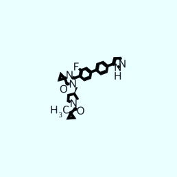 CC1(C(=O)N2CC[C@@H](CN3C(=O)C4(CC4)N=C3c3ccc(-c4ccc(-c5ccn[nH]5)cc4)cc3F)C2)CC1